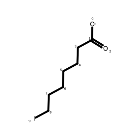 [O]C(=O)CCCCCCI